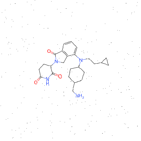 NCC1CCC(N(CCC2CC2)c2cccc3c2CN(C2CCC(=O)NC2=O)C3=O)CC1